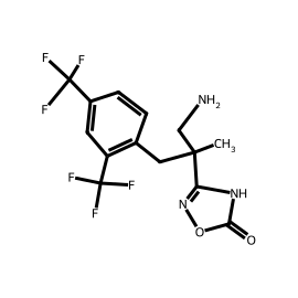 CC(CN)(Cc1ccc(C(F)(F)F)cc1C(F)(F)F)c1noc(=O)[nH]1